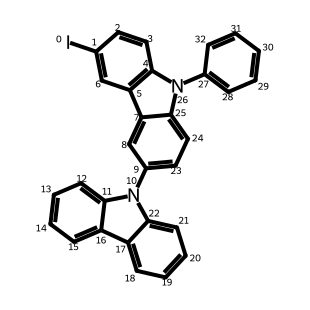 Ic1ccc2c(c1)c1cc(-n3c4ccccc4c4ccccc43)ccc1n2-c1ccccc1